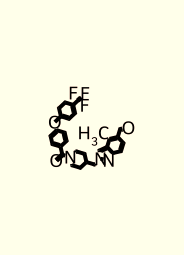 Cc1c(C=O)ccc2nn(CC3CCN(C(=O)c4ccc(OC5=CC=C(C(F)(F)F)CC5)cc4)CC3)cc12